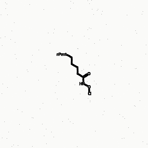 CCCCCCCCCC(=O)NOCl